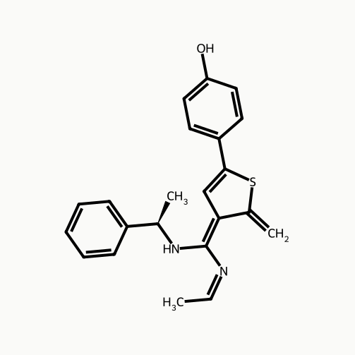 C=c1sc(-c2ccc(O)cc2)c/c1=C(/N=C\C)N[C@H](C)c1ccccc1